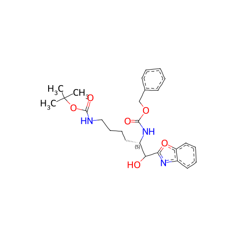 CC(C)(C)OC(=O)NCCCC[C@H](NC(=O)OCc1ccccc1)C(O)c1nc2ccccc2o1